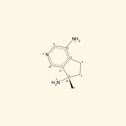 C[C@]1(N)CCc2c(N)cncc21